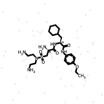 CCOc1ccc(NC(=O)[C@H](CC2CCCCC2)NC(=O)[C@@H](N)CS(=O)(=O)N(CCN)CCN)cc1